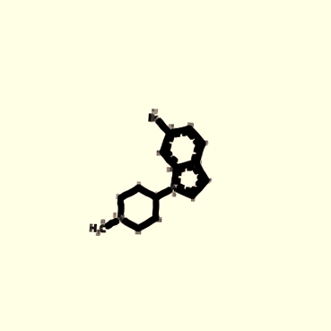 CN1CCC(n2ccc3ccc(Br)cc32)CC1